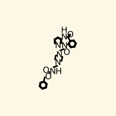 O=C(NCCN1CCN(CC(=O)N2c3ccccc3C(=O)Nc3cccnc32)CC1)OCc1ccccc1